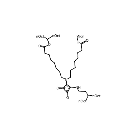 CCCCCCCCCOC(=O)CCCCCCCN(CCCCCCCC(=O)OC(CCCCCCCC)CCCCCCCC)c1c(NCCN(CCCCCCCC)CCCCCCCC)c(=O)c1=O